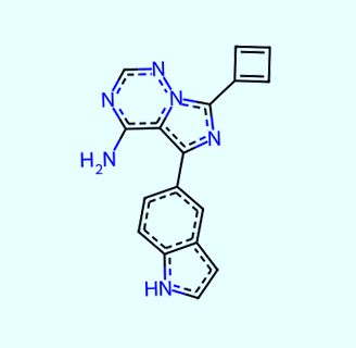 Nc1ncnn2c(C3=CC=C3)nc(-c3ccc4[nH]ccc4c3)c12